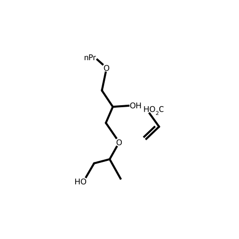 C=CC(=O)O.CCCOCC(O)COC(C)CO